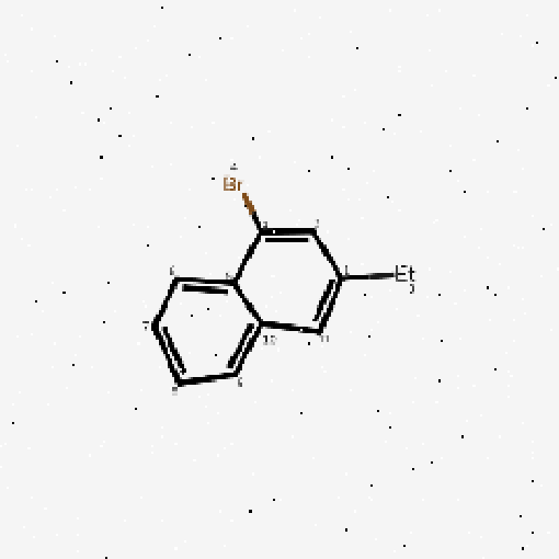 CCc1cc(Br)c2ccccc2c1